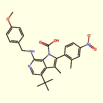 COc1ccc(CNc2ncc(C(C)(C)C)c3c(C)c(-c4ccc([N+](=O)[O-])cc4C)n(C(=O)O)c23)cc1